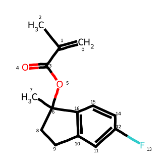 C=C(C)C(=O)OC1(C)CCc2cc(F)ccc21